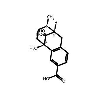 CN1CC[C@@]2(C)c3cc(C(=O)O)ccc3C[C@@H]1C2(O)O